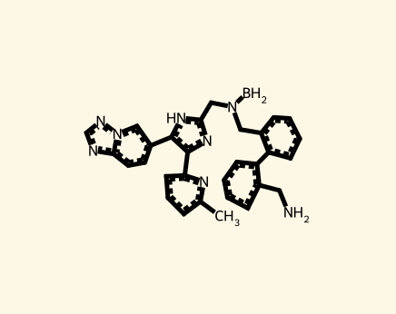 BN(Cc1nc(-c2cccc(C)n2)c(-c2ccc3ncnn3c2)[nH]1)Cc1ccccc1-c1ccccc1CN